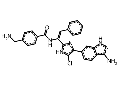 NCc1ccc(C(=O)NC(=Cc2ccccc2)c2nc(-c3ccc4c(N)n[nH]c4c3)c(Cl)[nH]2)cc1